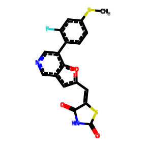 CSc1ccc(-c2cncc3cc(C=C4SC(=O)NC4=O)oc23)c(F)c1